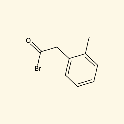 Cc1ccccc1CC(=O)Br